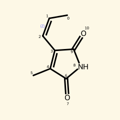 C/C=C\C1=C(C)C(=O)NC1=O